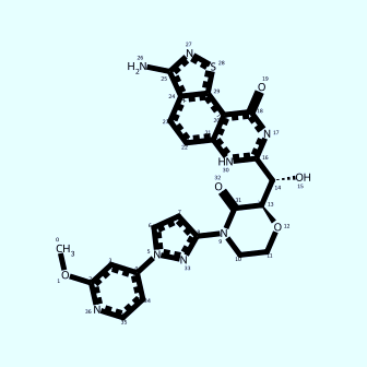 COc1cc(-n2ccc(N3CCO[C@H]([C@@H](O)c4nc(=O)c5c(ccc6c(N)nsc65)[nH]4)C3=O)n2)ccn1